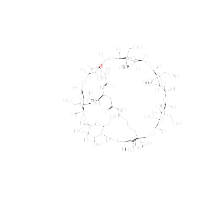 C/C=N\C(=C/C)CC(=O)NCCSCC1O[C@@H]2O[C@@H]3C(CO)O[C@@H](O[C@@H]4C(CO)O[C@@H](O[C@@H]5C(C)O[C@@H](O[C@@H]6C(CO)O[C@H](O[C@@H]7C(CO)O[C@H](O[C@@H]8C(CO)O[C@H](O[C@H]1[C@H](O)C2O)C(O)[C@H]8O)[C@@H](O)C7O)[C@@H](O)C6O)[C@@H](O)C5O)[C@@H](O)C4O)[C@@H](O)C3O